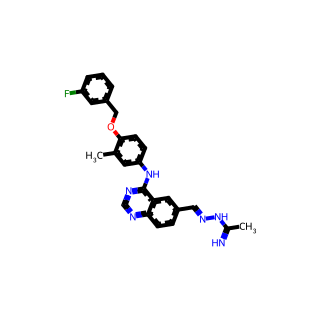 CC(=N)N/N=C/c1ccc2ncnc(Nc3ccc(OCc4cccc(F)c4)c(C)c3)c2c1